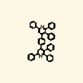 c1ccc(-c2cc(-c3ccc(-c4cc(-c5ccccc5)nc(-c5ccccc5)c4-c4ccccc4)cc3)c(-c3ccccc3)c(-c3ccccc3)n2)cc1